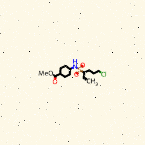 C=CC(CCCCl)S(=O)(=O)NC1CCC(C(=O)OC)CC1